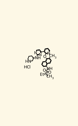 CCN(C)S(=O)(=O)Nc1cccc2c(Oc3ncccc3-c3ccnc(N[C@H]4CCCNC4)n3)c(C)ccc12.Cl